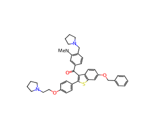 CNc1cc(C(=O)c2c(-c3ccc(OCCN4CCCC4)cc3)sc3cc(OCc4ccccc4)ccc23)ccc1CN1CCCC1